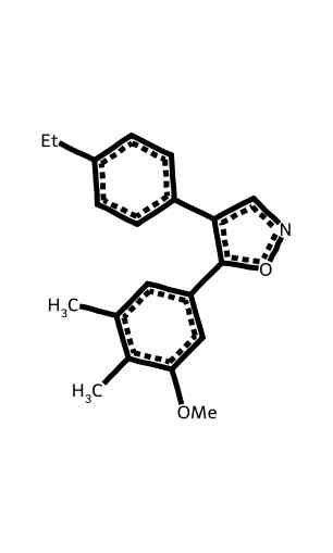 CCc1ccc(-c2cnoc2-c2cc(C)c(C)c(OC)c2)cc1